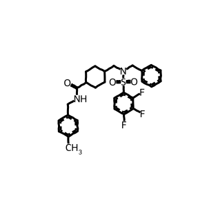 Cc1ccc(CNC(=O)C2CCC(CN(Cc3ccccc3)S(=O)(=O)c3ccc(F)c(F)c3F)CC2)cc1